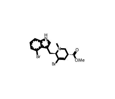 COC(=O)[C@@H]1C=C(Br)[C@@H](Cc2c[nH]c3cccc(Br)c23)N(C)C1